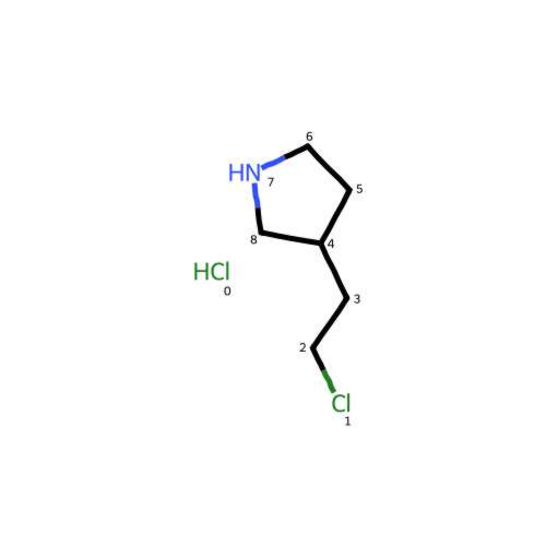 Cl.ClCCC1CCNC1